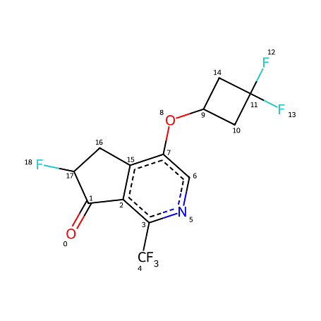 O=C1c2c(C(F)(F)F)ncc(OC3CC(F)(F)C3)c2CC1F